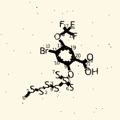 CSSSSS(=S)(=S)Oc1cc(Br)c(OC(F)(F)F)cc1C(=O)O